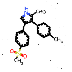 Cc1ccc(-c2c(-c3ccc(S(C)(=O)=O)cc3)c[nH]c2C=O)cc1